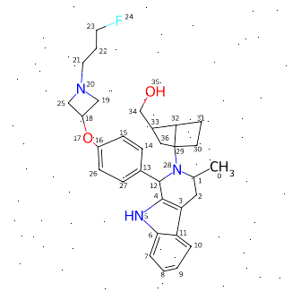 CC1Cc2c([nH]c3ccccc23)C(c2ccc(OC3CN(CCCF)C3)cc2)N1C12CCC1C(CO)C2